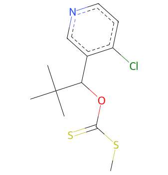 CSC(=S)OC(c1cnccc1Cl)C(C)(C)C